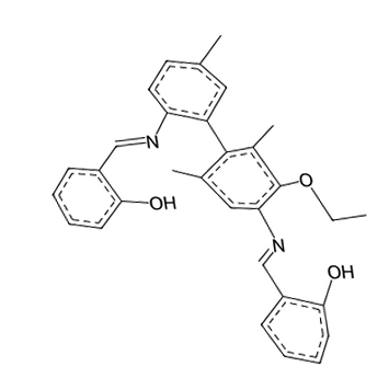 CCOc1c(N=Cc2ccccc2O)cc(C)c(-c2cc(C)ccc2N=Cc2ccccc2O)c1C